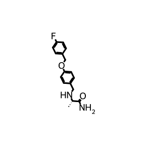 C[C@H](NCc1ccc(OCc2ccc(F)cc2)cc1)C(N)=O